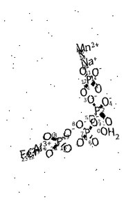 O.O=P([O-])([O-])[O-].O=P([O-])([O-])[O-].O=P([O-])([O-])[O-].O=P([O-])([O-])[O-].[Al+3].[Cr+3].[Fe+2].[K+].[Mn+2].[Na+]